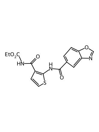 CCOC(=O)NC(=O)c1ccsc1NC(=O)c1ccc2ocnc2c1